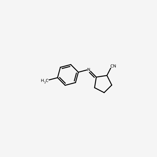 Cc1ccc(/N=C2\CCCC2C#N)cc1